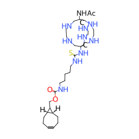 CC(=O)NC12CNCCNCC(NC(=S)NCCCCCNC(=O)OCC3[C@H]4CCC#CCC[C@@H]34)(CNCCNC1)CNCCNC2